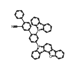 N#Cc1cc(-c2ccc(-n3c4ccccc4c4c5oc6ccccc6c5ccc43)cc2-n2c3ccccc3c3ccccc32)ccc1-c1ccccc1